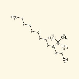 CCCCCCCCCN(CCO)C(C)(C)C